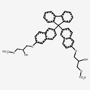 O=C(O)OCC(O)COc1ccc2cc(C3(c4ccc5cc(OCC(O)COC(=O)O)ccc5c4)c4ccccc4-c4ccccc43)ccc2c1